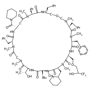 CC[C@H](C)[C@H]1C(=O)N[C@@H]([C@@H](C)O)C(=O)N(C)CC(=O)N(C)[C@@H](CC(C)C)C(=O)N[C@H](C(=O)N2CCCCC2)CC(=O)N(C)[C@@H](C(C)C)C(=O)N[C@@H](CC(C)C)COCN(C)[C@@H](CC(C)C)C(=O)N(C)[C@@H](Cc2ccccc2)C(=O)N[C@@H](COCC(O)C(F)(F)F)C(=O)N(C)[C@@H](CC2CCCCC2)C(=O)N1C